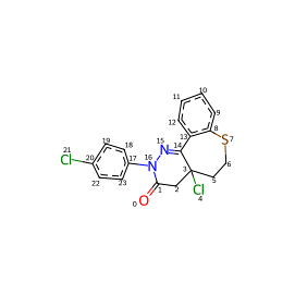 O=C1CC2(Cl)CCSc3ccccc3C2=NN1c1ccc(Cl)cc1